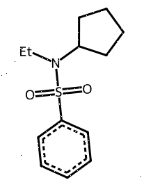 [CH2]CN(C1CCCC1)S(=O)(=O)c1ccccc1